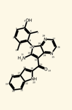 Cc1ccc(O)c(C)c1-n1c(N)c(C(=O)c2cc3ccccc3[nH]2)c2nccnc21